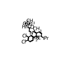 C=C(/C=C\c1c(C)n(CC(=O)NS(C)(=O)=O)c2c(Cl)c(Cl)ccc2c1=O)C(C)C